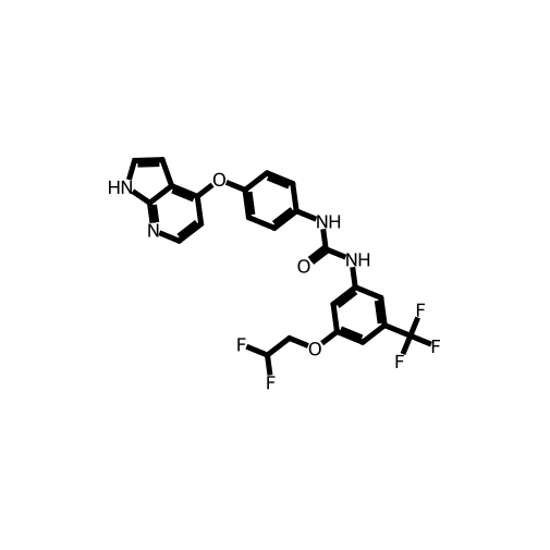 O=C(Nc1ccc(Oc2ccnc3[nH]ccc23)cc1)Nc1cc(OCC(F)F)cc(C(F)(F)F)c1